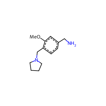 COc1cc(CN)ccc1CN1CCCC1